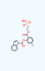 O=C(OCCS(=O)(=O)O)c1ccc(I)cc1OC(=O)C1C=Cc2ccccc21